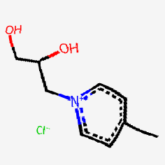 Cc1cc[n+](CC(O)CO)cc1.[Cl-]